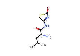 CC(C)C[C@H](N)C(=O)NC1=NC(=O)SC1